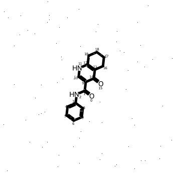 O=C(Nc1ccccc1)c1c[nH]c2c(c1=O)CCCC2